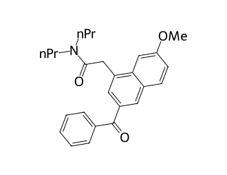 CCCN(CCC)C(=O)Cc1cc(C(=O)c2ccccc2)cc2ccc(OC)cc12